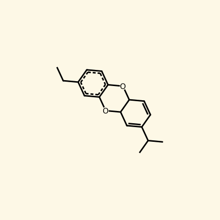 CCc1ccc2c(c1)OC1C=C(C(C)C)C=CC1O2